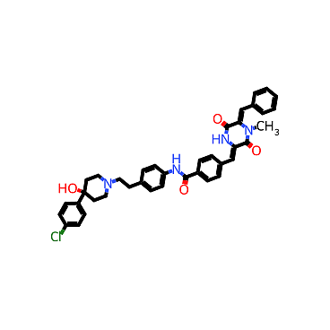 Cn1c(=O)c(=Cc2ccc(C(=O)Nc3ccc(CCN4CCC(O)(c5ccc(Cl)cc5)CC4)cc3)cc2)[nH]c(=O)c1=Cc1ccccc1